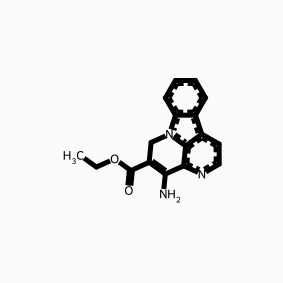 CCOC(=O)C1=C(N)c2nccc3c4ccccc4n(c23)C1